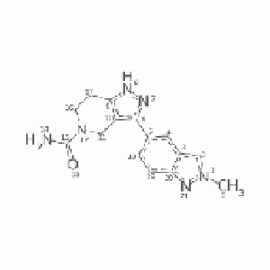 Cn1cc2cc(-c3n[nH]c4c3CN(C(N)=O)CC4)ccc2n1